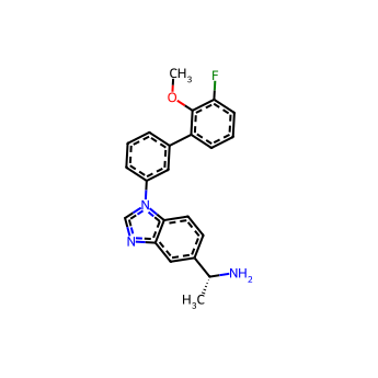 COc1c(F)cccc1-c1cccc(-n2cnc3cc([C@@H](C)N)ccc32)c1